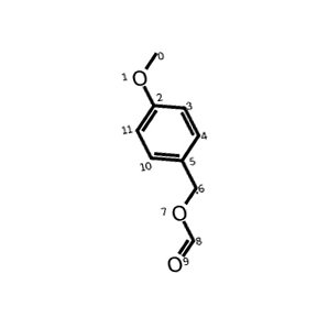 COc1ccc([CH]OC=O)cc1